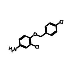 Nc1ccc(OCc2ccc(Cl)cc2)c(Cl)c1